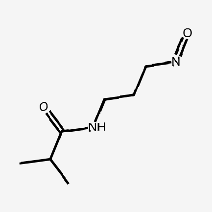 CC(C)C(=O)NCCCN=O